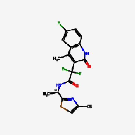 Cc1c(C(F)(F)C(=O)N[C@H](C)c2nc(C#N)cs2)c(=O)[nH]c2ccc(F)cc12